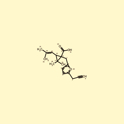 C#CCc1ccc(CC2(C(=O)O)C(C=C(C)C)C2(C)C)o1